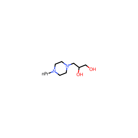 CCCN1CCN(CC(O)CO)CC1